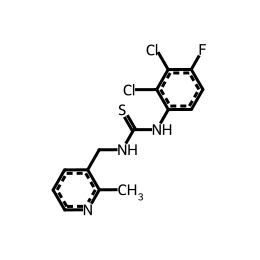 Cc1ncccc1CNC(=S)Nc1ccc(F)c(Cl)c1Cl